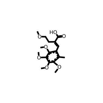 COCCC(=Cc1c(C)c(OC)c(OC)c(OC)c1OC)C(=O)O